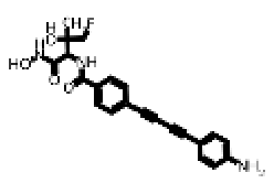 CC(O)(CF)C(NC(=O)c1ccc(C#CC#Cc2ccc(N)cc2)cc1)C(=O)NO